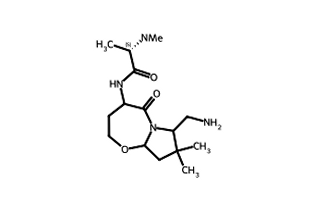 CN[C@@H](C)C(=O)NC1CCOC2CC(C)(C)C(CN)N2C1=O